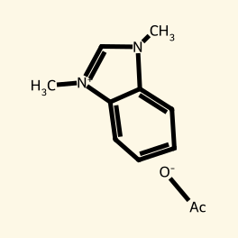 CC(=O)[O-].Cn1c[n+](C)c2ccccc21